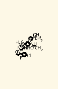 C=CC(=O)Nc1cc(Nc2cc(N3OCCC3c3ccc(Cl)cc3F)ncn2)c(OC)cc1N1CCC(N(C)C)C1